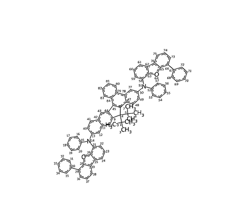 CC(C)(C)C1(C(C)(C)C)c2cc3cc(N(c4ccccc4)c4cccc5c4oc4c(-c6ccccc6)cccc45)ccc3cc2-c2c1c1ccc(N(c3ccccc3)c3cccc4c3oc3c(-c5ccccc5)cccc34)cc1c1ccccc21